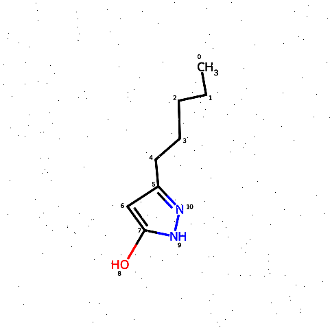 CCCCCc1cc(O)[nH]n1